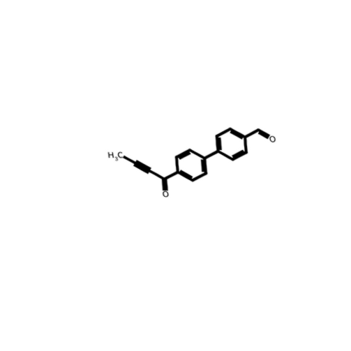 CC#CC(=O)c1ccc(-c2ccc(C=O)cc2)cc1